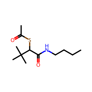 CCCCNC(=O)C(SC(C)=O)C(C)(C)C